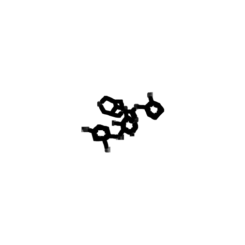 N#Cc1ccc(Nc2ncnc(OC3C4COCC3CN(C(=O)Oc3ccccc3Cl)C4)c2F)c(Cl)c1